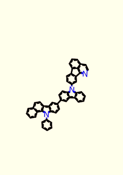 c1ccc(-n2c3ccc(-c4ccc5c(c4)c4ccccc4n5-c4ccc5c(c4)-c4nccc6cccc-5c46)cc3c3ccc4ccccc4c32)cc1